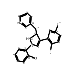 Fc1ccc(F)c(C2=CN(c3ccccc3Cl)NC2Cc2cccnc2)c1